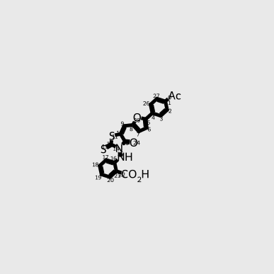 CC(=O)c1ccc(-c2ccc(/C=C3/SC(=S)N(Nc4ccccc4C(=O)O)C3=O)o2)cc1